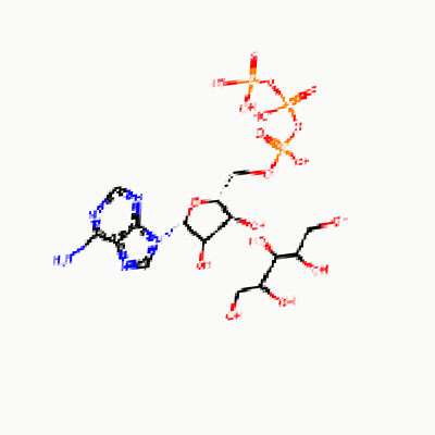 Nc1ncnc2c1ncn2[C@@H]1O[C@H](COP(=O)(O)OP(=O)(O)OP(=O)(O)O)[C@@H](O)[C@H]1O.OCC(O)C(O)C(O)CO